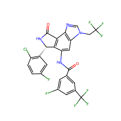 O=C(Nc1cc2c(ncn2CC(F)(F)F)c2c1[C@H](c1cc(F)ccc1Cl)NC2=O)c1cc(F)cc(C(F)(F)F)c1